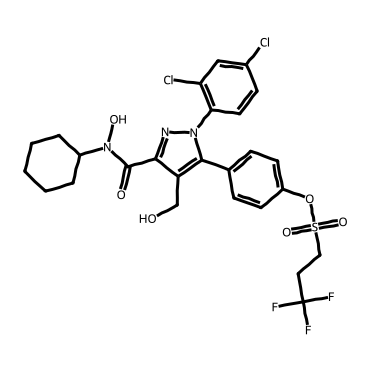 O=C(c1nn(-c2ccc(Cl)cc2Cl)c(-c2ccc(OS(=O)(=O)CCC(F)(F)F)cc2)c1CO)N(O)C1CCCCC1